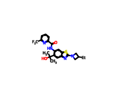 CCC1CN(c2nc3cc(C(C)(C)O)c(NC(=O)c4cccc(C(F)(F)F)n4)cc3s2)C1